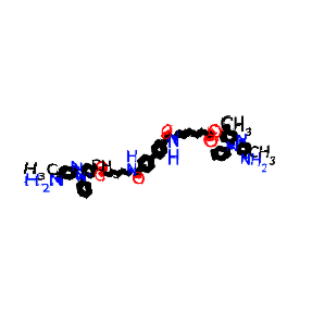 CC1=CC2=Nc3cc(C)c(N)cc3N(c3ccccc3)C2C=C1OC(=O)CCCCCNC(=O)c1ccc(-c2ccc(C(=O)NCCCCCC(=O)Oc3cc4c(cc3C)nc3cc(C)c(N)cc3[n+]4-c3ccccc3)cc2)cc1